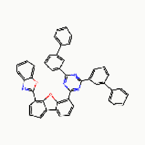 c1ccc(-c2cccc(-c3nc(-c4cccc(-c5ccccc5)c4)nc(-c4cccc5c4oc4c(-c6nc7ccccc7o6)cccc45)n3)c2)cc1